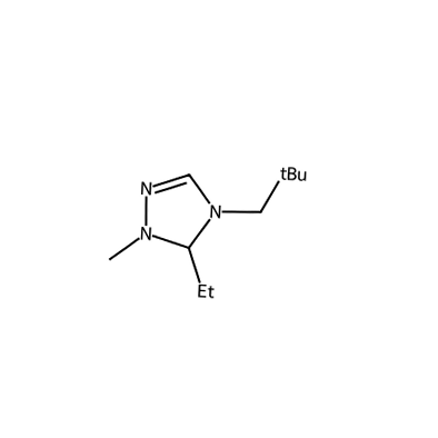 CCC1N(CC(C)(C)C)C=NN1C